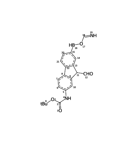 CC(C)(C)OC(=O)Nc1ccc2c(c1)C(C=O)c1cc(BOC=N)ccc1-2